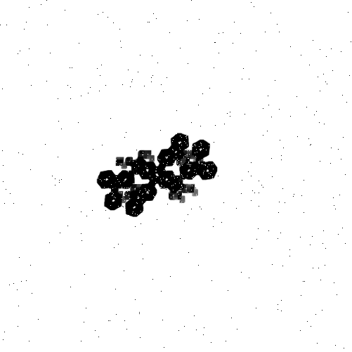 Cc1c(C)n(-c2ccc3c(c2)c2ccccc2n3-c2ccccc2)c2cc3c(-c4ccc5c(c4)C(C)(C)c4ccccc4-5)c4cc5c(C)c(C)n(-c6ccc7c(c6)c6ccccc6n7-c6ccccc6)c5cc4c(-c4ccc5c(c4)C(C)(C)c4ccccc4-5)c3cc12